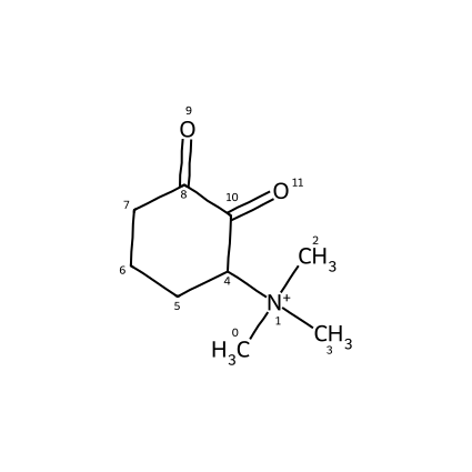 C[N+](C)(C)C1CCCC(=O)C1=O